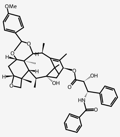 COc1ccc(C2O[C@H]3C[C@H]4OC[C@@]4(C)[C@H]4[C@H](C)[C@]5(O)C[C@H](OC(=O)[C@H](O)[C@@H](NC(=O)c6ccccc6)c6ccccc6)C(C)=C([C@H](C)[C@H](O2)[C@]34C)C5(C)C)cc1